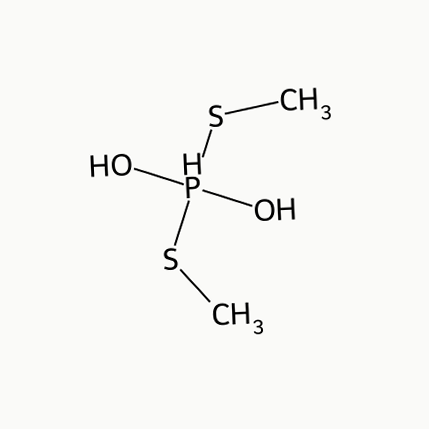 CS[PH](O)(O)SC